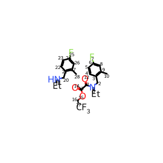 CCN(Cc1ccc(F)cc1C)C(=O)C(=O)OCC(F)(F)F.CCNCc1ccc(F)cc1C